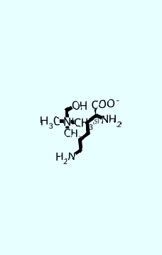 C[N+](C)(C)CO.NCCCC[C@H](N)C(=O)[O-]